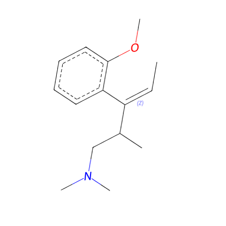 C/C=C(\c1ccccc1OC)C(C)CN(C)C